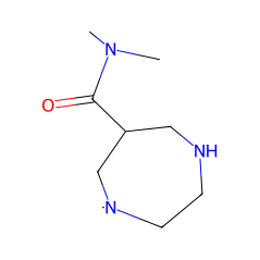 CN(C)C(=O)C1C[N]CCNC1